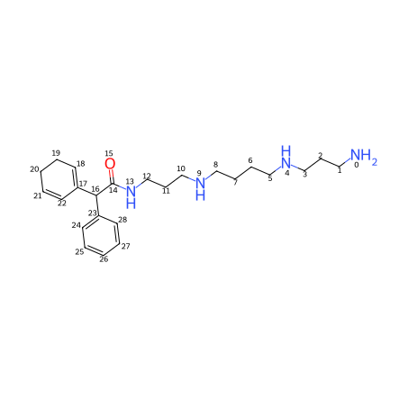 NCCCNCCCCNCCCNC(=O)C(C1=CCCC=C1)c1ccccc1